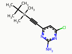 CC(C)(C)[Si](C)(C)C#Cc1cc(Cl)nc(N)n1